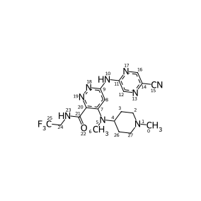 CN1CCC(N(C)c2cc(Nc3cnc(C#N)cn3)nnc2C(=O)NCC(F)(F)F)CC1